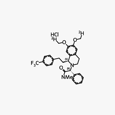 Cl.[2H]COc1cc2c(cc1OC[2H])[C@H](CCc1ccc(C(F)(F)F)cc1)N([C@@H](C(=O)NC)c1ccccc1)CC2